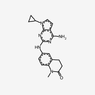 CN1C(=O)CCc2cc(Nc3nc(N)c4ccn(C5CC5)c4n3)ccc21